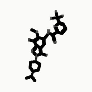 COc1c(NC(=O)c2cccc(C(F)(F)F)n2)cc2c(F)n([C@H]3CC[C@H](C(C)C)CC3)nc2c1F